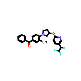 N#Cc1cc(C(=O)c2ccccc2)ccc1N1CCC(Oc2ccc(C(F)C(F)F)cn2)C1